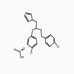 Clc1ccc(CCC(Cn2ccnc2)Sc2ccc(Cl)cc2)cc1.O=[N+]([O-])O